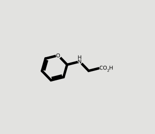 O=C(O)CNC1C=CC=CO1